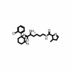 CC1CC=NC1C(=O)NCCCCC(N)C1=N[C@@]2(c3ccccc3Cl)CCC[C@@H](O1)C2=O